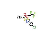 CCCCC(Sc1nc(-c2ccc(Cl)cc2)cs1)C(=O)OCCC(F)=C(F)F